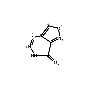 O=c1[nH]nnc2conc12